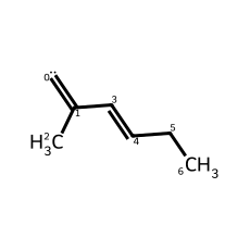 [C]=C(C)C=CCC